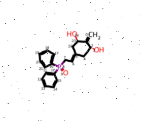 C=C1[C@H](O)CC(=CCP(=O)(c2ccccc2)c2ccccc2)C[C@H]1O